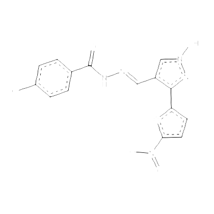 Cn1cc(C=NNC(=O)c2ccc(Cl)cc2)c(-c2ccc([N+](=O)[O-])o2)n1